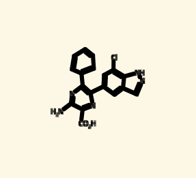 Nc1nc(-c2ccccc2)c(-c2cc(Cl)c3[nH]ncc3c2)nc1C(=O)O